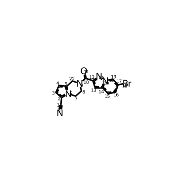 N#Cc1ccc2n1CCN(C(=O)c1cc3ccc(Br)cn3n1)C2